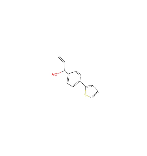 C=CC(O)c1ccc(-c2cccs2)cc1